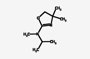 CC(C)N(C)C1=NC(C)(C)CO1